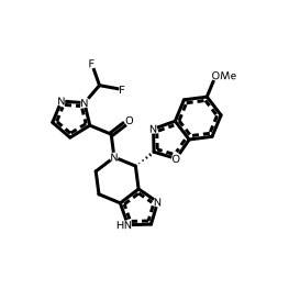 COc1ccc2oc([C@@H]3c4nc[nH]c4CCN3C(=O)c3ccnn3C(F)F)nc2c1